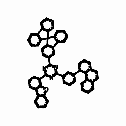 c1cc(-c2nc(-c3ccc4c(c3)-c3ccccc3C43c4ccccc4-c4ccccc43)nc(-c3cccc4c3oc3ccccc34)n2)cc(-c2cccc3ccc4ccccc4c23)c1